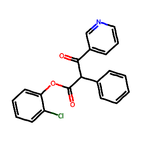 O=C(Oc1ccccc1Cl)C(C(=O)c1cccnc1)c1ccccc1